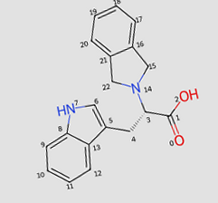 O=C(O)[C@H](Cc1c[nH]c2ccccc12)N1Cc2ccccc2C1